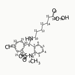 CN1c2ccccc2C(NCCCCCCC(=O)OO)c2ccc(Cl)cc2S1(=O)=O